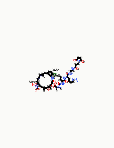 COc1cc2cc(c1Cl)N(C)C(=O)CC(OC(=O)[C@H](C)N(C)C(=O)NC(CCSC)C(=O)NC(CCCCN)C(=O)NCCNC(=O)CCN1C(=O)C=CC1=O)C1(C)OC1C(C)C1CC(O)(NC(=O)O1)C(OC)/C=C/C=C(\C)C2